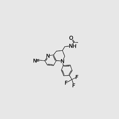 CC(=O)NCC1Cc2nc(C#N)ccc2N(c2ccc(C(F)(F)F)cc2)C1